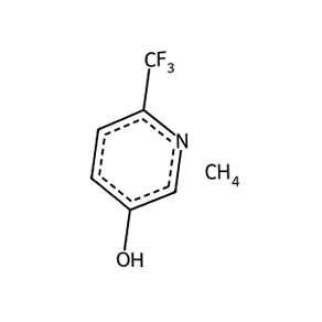 C.Oc1ccc(C(F)(F)F)nc1